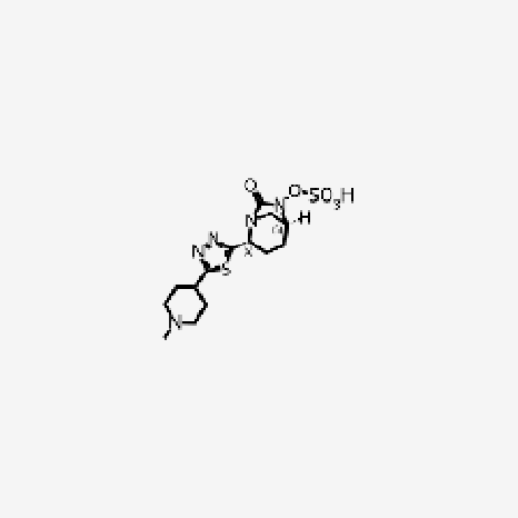 CN1CCC(c2nnc([C@@H]3CC[C@H]4CN3C(=O)N4OS(=O)(=O)O)s2)CC1